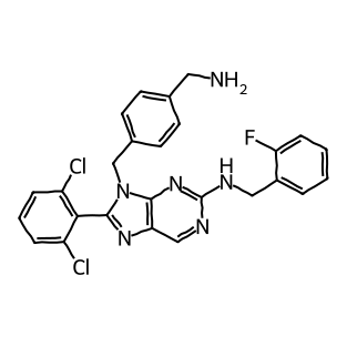 NCc1ccc(Cn2c(-c3c(Cl)cccc3Cl)nc3cnc(NCc4ccccc4F)nc32)cc1